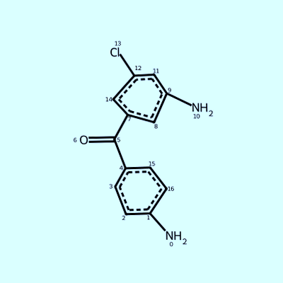 Nc1ccc(C(=O)c2cc(N)cc(Cl)c2)cc1